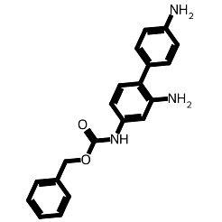 Nc1ccc(-c2ccc(NC(=O)OCc3ccccc3)cc2N)cc1